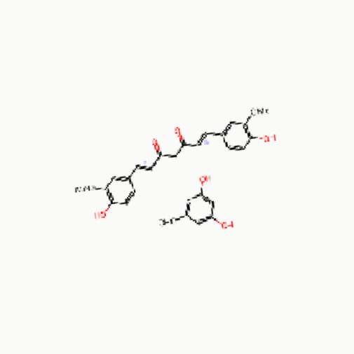 COc1cc(/C=C/C(=O)CC(=O)/C=C/c2ccc(O)c(OC)c2)ccc1O.O=Cc1cc(O)cc(O)c1